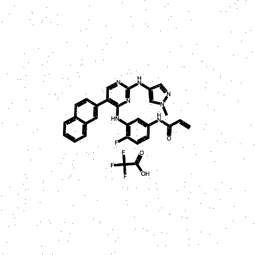 C=CC(=O)Nc1ccc(F)c(Nc2nc(Nc3cnn(C)c3)ncc2-c2ccc3ccccc3c2)c1.O=C(O)C(F)(F)F